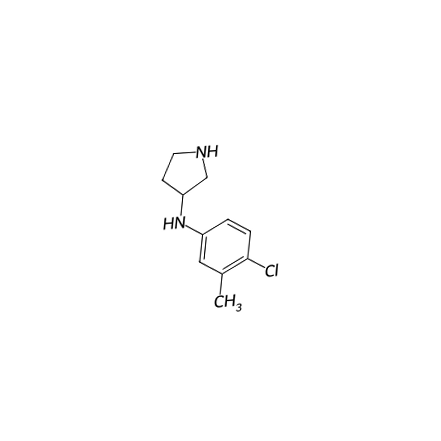 Cc1cc(NC2CCNC2)ccc1Cl